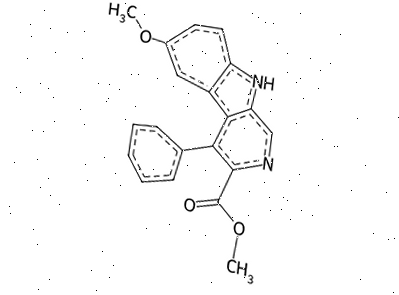 COC(=O)c1ncc2[nH]c3ccc(OC)cc3c2c1-c1ccccc1